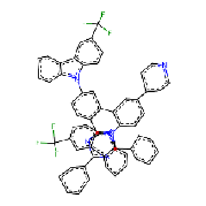 FC(F)(F)c1ccc2c(c1)c1ccccc1n2-c1ccc(-c2nc(-c3ccccc3)nc(-c3ccccc3)n2)c(-c2cc(-c3ccncc3)ccc2-n2c3ccccc3c3cc(C(F)(F)F)ccc32)c1